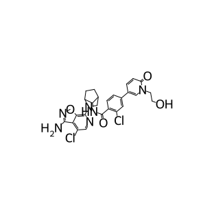 Nc1noc2c(N3CC4CCC3C4NC(=O)c3ccc(-c4ccc(=O)n(CCO)c4)cc3Cl)ncc(Cl)c12